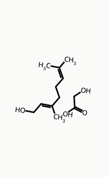 CC(C)=CCCC(C)=CCO.O=C(O)CO